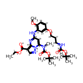 CCOC(=O)c1cnn2c(N(C)C(=O)OC(C)(C)C)cc(Nc3cc(OCCCNC(=O)OC(C)(C)C)ccc3OC)nc12